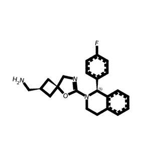 NC[C@H]1C[C@]2(CN=C(N3CCc4ccccc4[C@@H]3c3ccc(F)cc3)O2)C1